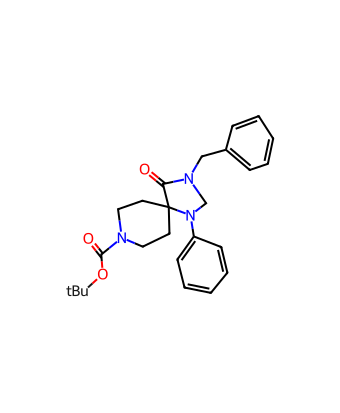 CC(C)(C)OC(=O)N1CCC2(CC1)C(=O)N(Cc1ccccc1)CN2c1ccccc1